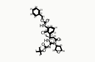 CC(C)(C)OC(=O)N=C1N[C@](C)(c2cccc(NC(=O)OCc3ccccc3)c2Cl)CC(=O)N1C1CCOC1